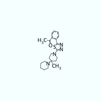 CC(=O)c1ccccc1-c1nnc(N2CCC(C)(N3CCCCC3)CC2)s1